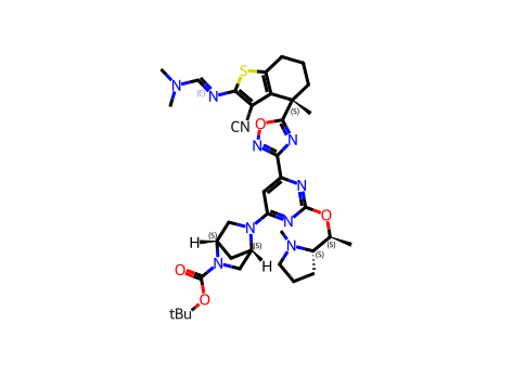 C[C@H](Oc1nc(-c2noc([C@@]3(C)CCCc4sc(/N=C/N(C)C)c(C#N)c43)n2)cc(N2C[C@@H]3C[C@H]2CN3C(=O)OC(C)(C)C)n1)[C@@H]1CCCN1C